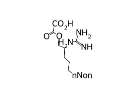 CCCCCCCCCCCCCCOC(=O)C(=O)O.N=C(N)N